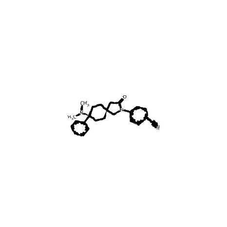 CN(C)[C@]1(c2ccccc2)CC[C@@]2(CC1)CC(=O)N(c1ccc(C#N)cc1)C2